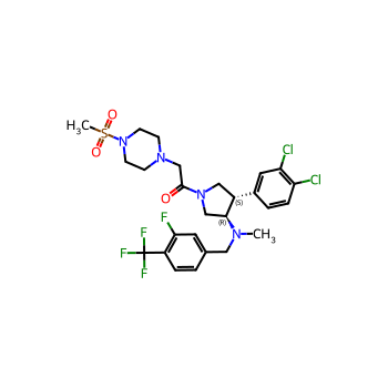 CN(Cc1ccc(C(F)(F)F)c(F)c1)[C@H]1CN(C(=O)CN2CCN(S(C)(=O)=O)CC2)C[C@@H]1c1ccc(Cl)c(Cl)c1